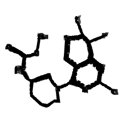 CC(C)(C)OC(=O)NC1=CN(c2nc(Cl)nc3c(F)c(Cl)ncc23)CCC1